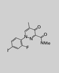 CNC(=O)c1nn(-c2ccc(I)cc2F)cc(C)c1=O